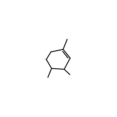 CC1=CC(C)C(C)[CH]C1